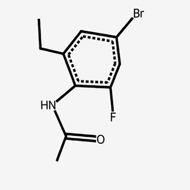 CCc1cc(Br)cc(F)c1NC(C)=O